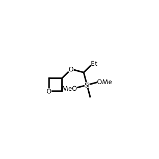 CCC(OC1COC1)[Si](C)(OC)OC